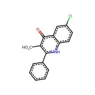 O=C(O)c1c(-c2ccccc2)[nH]c2ccc(Cl)cc2c1=O